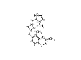 CB1CCc2ccc(CC3CN(CC4NC=CN4C)C3)c(C)c2O1